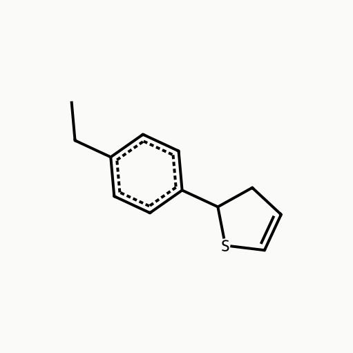 CCc1ccc(C2CC=CS2)cc1